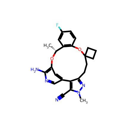 C[C@H]1Oc2cc(cnc2N)-c2c(nn(C)c2C#N)CCC2(CCC2)Oc2ccc(F)cc21